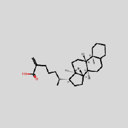 C=C(CCCC(C)[C@H]1CC[C@H]2[C@@H]3CCC4CCCC[C@]4(C)[C@H]3CC[C@]12C)C(=O)O